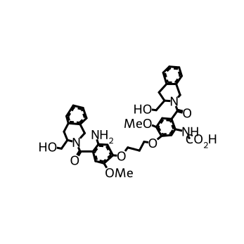 COc1cc(C(=O)N2Cc3ccccc3CC2CO)c(N)cc1OCCCOc1cc(NC(=O)O)c(C(=O)N2Cc3ccccc3CC2CO)cc1OC